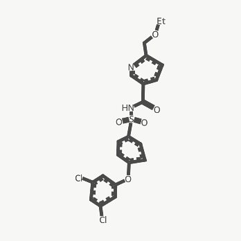 CCOCc1ccc(C(=O)NS(=O)(=O)c2ccc(Oc3cc(Cl)cc(Cl)c3)cc2)cn1